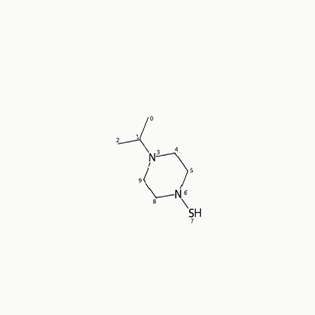 CC(C)N1CCN(S)CC1